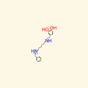 CC(C)(Cc1ccccc1)NCCCCCCNCCc1ccc(O)c(O)c1